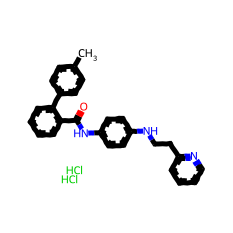 Cc1ccc(-c2ccccc2C(=O)Nc2ccc(NCCc3ccccn3)cc2)cc1.Cl.Cl